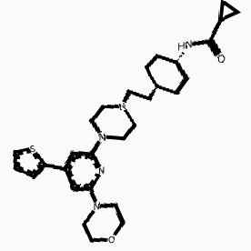 O=C(N[C@H]1CC[C@H](CCN2CCN(c3cc(-c4cccs4)cc(N4CCOCC4)n3)CC2)CC1)C1CC1